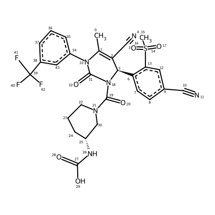 CC1=C(C#N)[C@@H](c2ccc(C#N)cc2S(C)(=O)=O)N(C(=O)N2CCC[C@@H](NC(=O)O)C2)C(=O)N1c1cccc(C(F)(F)F)c1